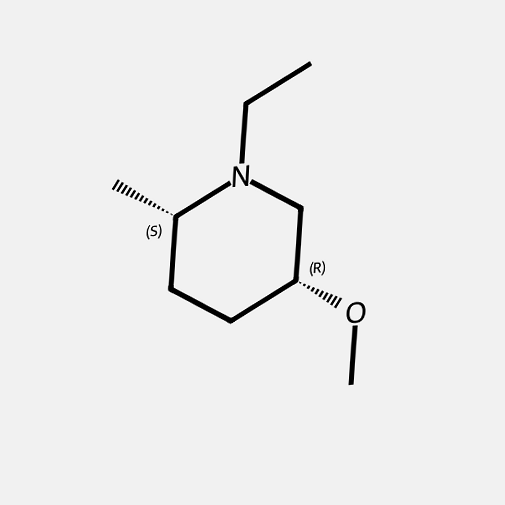 CCN1C[C@H](OC)CC[C@@H]1C